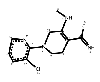 CNC1=C(C(=N)Cl)CCN(c2ncccc2Cl)C1